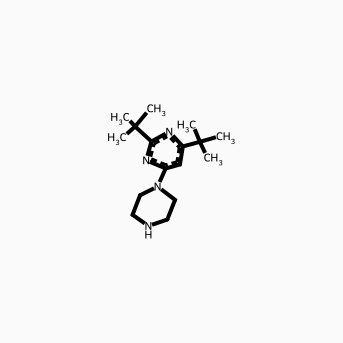 CC(C)(C)c1cc(N2CCNCC2)nc(C(C)(C)C)n1